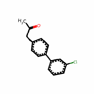 CC(=O)Cc1ccc(-c2cccc(Cl)c2)cc1